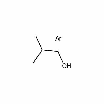 CC(C)CO.[Ar]